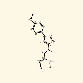 COc1ccc(-n2cnc(SCC(OC)OC)n2)cc1